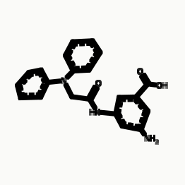 Nc1cc(NC(=O)CN(c2ccccc2)c2ccccc2)cc(C(=O)O)c1